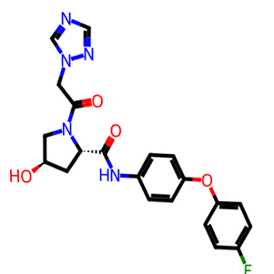 O=C(Nc1ccc(Oc2ccc(F)cc2)cc1)[C@@H]1C[C@@H](O)CN1C(=O)Cn1cncn1